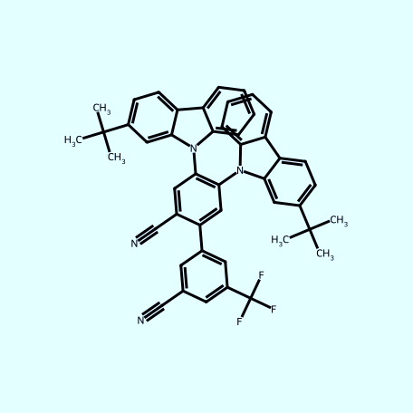 CC(C)(C)c1ccc2c3ccccc3n(-c3cc(C#N)c(-c4cc(C#N)cc(C(F)(F)F)c4)cc3-n3c4ccccc4c4ccc(C(C)(C)C)cc43)c2c1